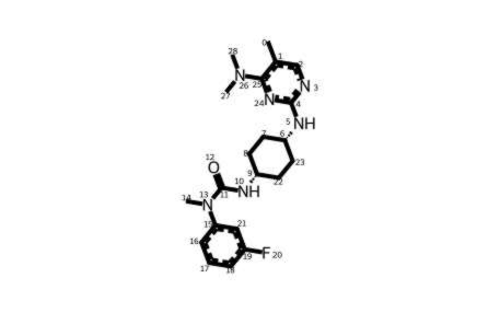 Cc1cnc(N[C@H]2CC[C@@H](NC(=O)N(C)c3cccc(F)c3)CC2)nc1N(C)C